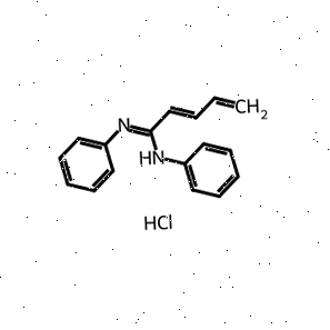 C=CC=CC(=Nc1ccccc1)Nc1ccccc1.Cl